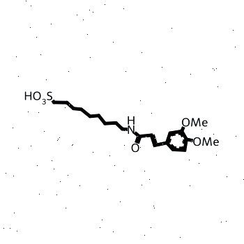 COc1ccc(C=CC(=O)NCCCCCCCCCS(=O)(=O)O)cc1OC